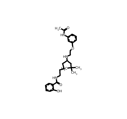 CC(=O)Nc1cccc(OCCNC(CCCCNC(=O)c2ccccc2O)CC(C)(C)C)c1